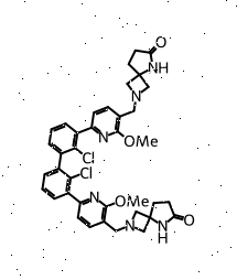 COc1nc(-c2cccc(-c3cccc(-c4ccc(CN5CC6(CCC(=O)N6)C5)c(OC)n4)c3Cl)c2Cl)ccc1CN1CC2(CCC(=O)N2)C1